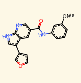 COc1cccc(NC(=O)c2cnc3[nH]cc(-c4ccoc4)c3c2)c1